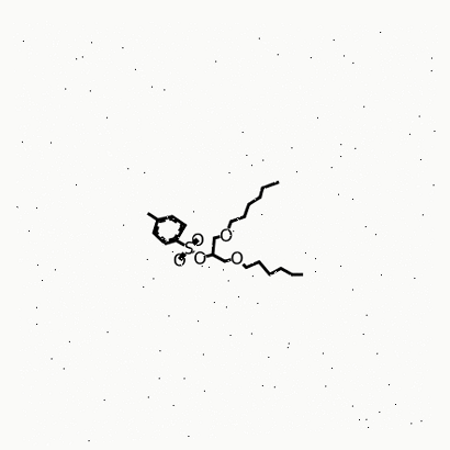 CCCCCCOCC(COCCCCCC)OS(=O)(=O)c1ccc(C)cc1